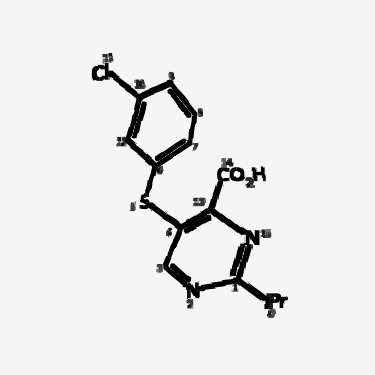 CC(C)c1ncc(Sc2cccc(Cl)c2)c(C(=O)O)n1